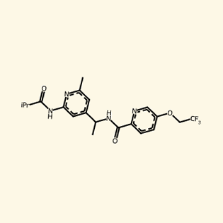 Cc1cc(C(C)NC(=O)c2ccc(OCC(F)(F)F)cn2)cc(NC(=O)C(C)C)n1